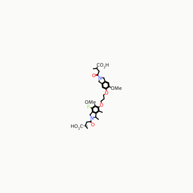 COc1cc2c(cc1OCCCOc1c(C)c3c(c(F)c1OC)CN(C(=O)C[C@H](C)C(=O)O)C3C)CN(C(=O)CC(C)C(=O)O)C2